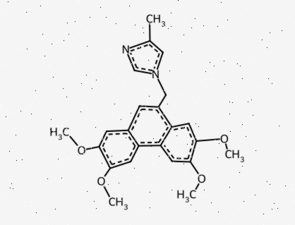 COc1cc2cc(Cn3cnc(C)c3)c3cc(OC)c(OC)cc3c2cc1OC